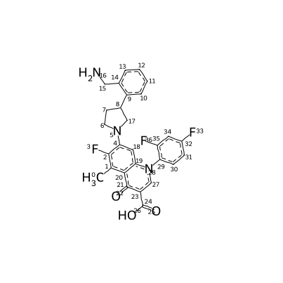 Cc1c(F)c(N2CCC(c3ccccc3CN)C2)cc2c1c(=O)c(C(=O)O)cn2-c1ccc(F)cc1F